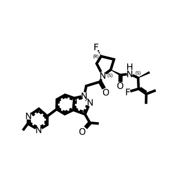 CC(=O)c1nn(CC(=O)N2C[C@H](F)C[C@H]2C(=O)N[C@@H](C)C(F)=C(C)C)c2ccc(-c3cnc(C)nc3)cc12